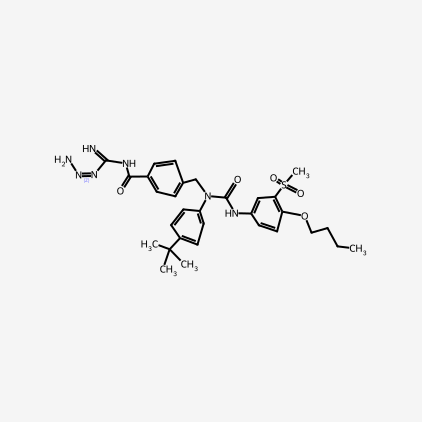 CCCCOc1ccc(NC(=O)N(Cc2ccc(C(=O)NC(=N)/N=N\N)cc2)c2ccc(C(C)(C)C)cc2)cc1S(C)(=O)=O